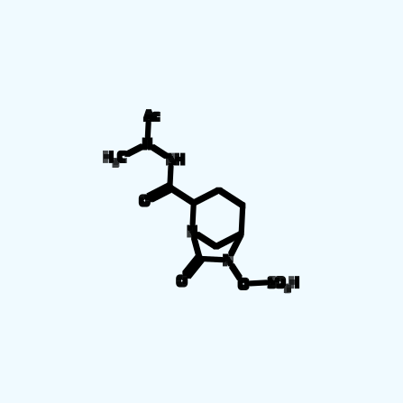 CC(=O)N(C)NC(=O)C1CCC2CN1C(=O)N2OS(=O)(=O)O